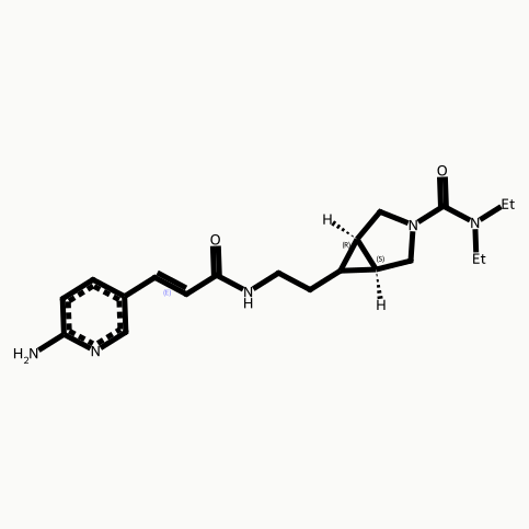 CCN(CC)C(=O)N1C[C@@H]2C(CCNC(=O)/C=C/c3ccc(N)nc3)[C@@H]2C1